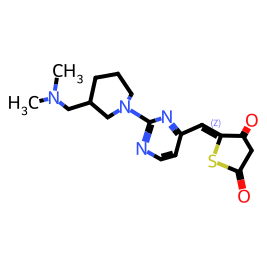 CN(C)CC1CCCN(c2nccc(/C=C3\SC(=O)CC3=O)n2)C1